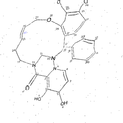 O=C1C2=C(O)C(O)C=CN2N2CN1CC/C=C/COc1c(ccc(Cl)c1Cl)[C@@H]2c1ccccc1